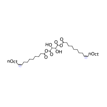 CCCCCCCC/C=C\CCCCCCCC(=O)OC(=O)C(O)C(O)C(=O)OC(=O)CCCCCCC/C=C\CCCCCCCC